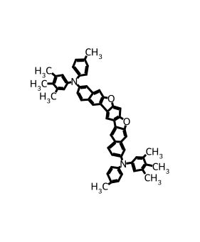 Cc1ccc(N(c2cc(C)c(C)c(C)c2)c2ccc3cc4c(cc3c2)oc2cc3oc5cc6cc(N(c7ccc(C)cc7)c7cc(C)c(C)c(C)c7)ccc6cc5c3cc24)cc1